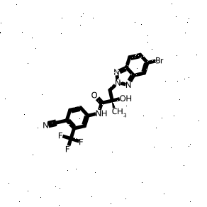 C[C@](O)(Cn1nc2ccc(Br)cc2n1)C(=O)Nc1ccc(C#N)c(C(F)(F)F)c1